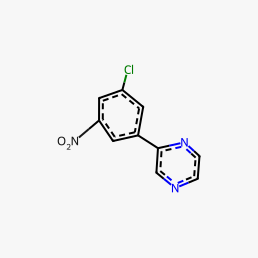 O=[N+]([O-])c1cc(Cl)cc(-c2cnccn2)c1